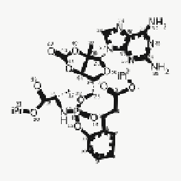 CC(C)OC(=O)CCc1ccccc1OP(=O)(N[C@@H](C)C(=O)OC(C)C)OC[C@H]1O[C@@H](n2cnc3c(N)nc(N)nc32)C2(C)OC(=O)OC12